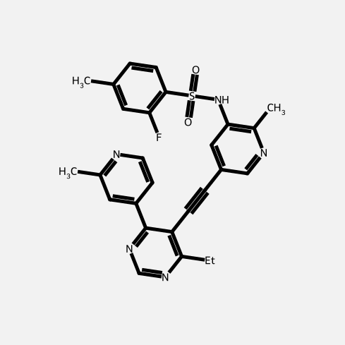 CCc1ncnc(-c2ccnc(C)c2)c1C#Cc1cnc(C)c(NS(=O)(=O)c2ccc(C)cc2F)c1